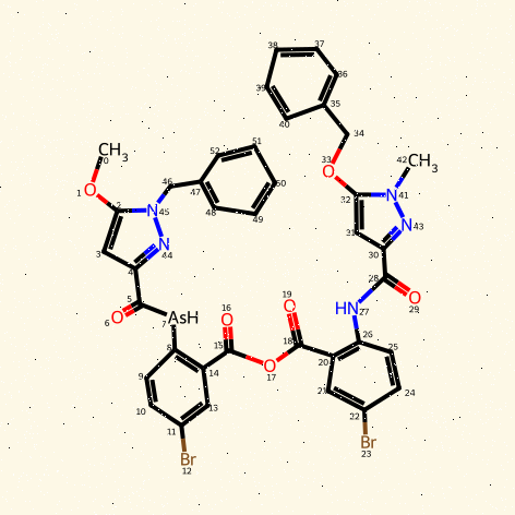 COc1cc(C(=O)[AsH]c2ccc(Br)cc2C(=O)OC(=O)c2cc(Br)ccc2NC(=O)c2cc(OCc3ccccc3)n(C)n2)nn1Cc1ccccc1